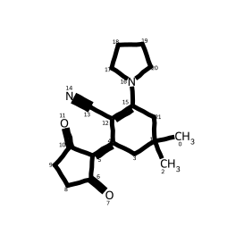 CC1(C)CC(=C2C(=O)CCC2=O)C(C#N)=C(N2CCCC2)C1